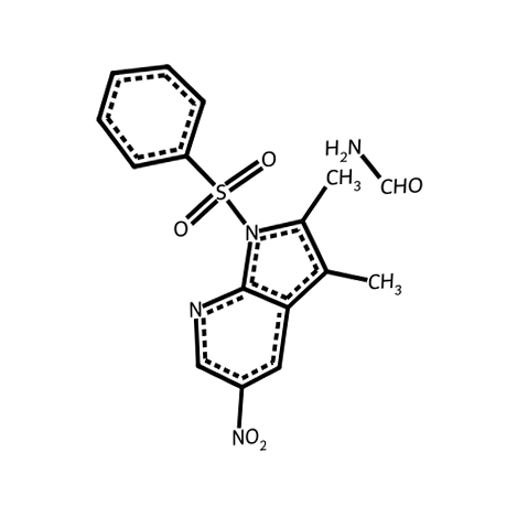 Cc1c(C)n(S(=O)(=O)c2ccccc2)c2ncc([N+](=O)[O-])cc12.NC=O